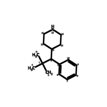 CC(C)(C)C(c1ccccc1)C1CCNCC1